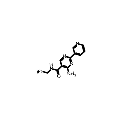 CC(C)CNC(=O)c1cnc(-c2cccnc2)nc1N